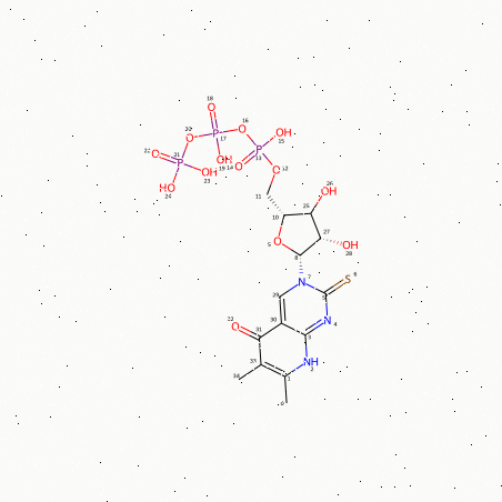 Cc1[nH]c2nc(=S)n([C@@H]3O[C@H](COP(=O)(O)OP(=O)(O)OP(=O)(O)O)C(O)[C@@H]3O)cc2c(=O)c1C